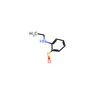 CCNc1ccccc1P=O